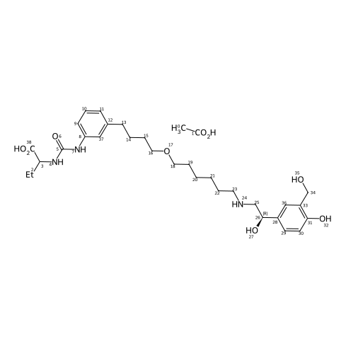 CC(=O)O.CCC(NC(=O)Nc1cccc(CCCCOCCCCCCNC[C@H](O)c2ccc(O)c(CO)c2)c1)C(=O)O